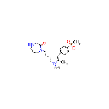 CCCN(CCCCN1CCCNCC1=O)C(C)Cc1ccc(S(C)(=O)=O)cc1